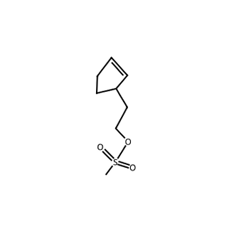 CS(=O)(=O)OCCC1C=CCC1